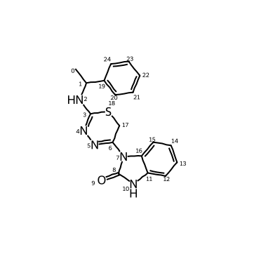 CC(NC1=NN=C(n2c(=O)[nH]c3ccccc32)CS1)c1ccccc1